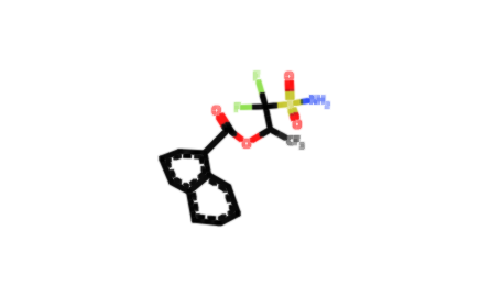 NS(=O)(=O)C(F)(F)C(OC(=O)c1cccc2ccccc12)C(F)(F)F